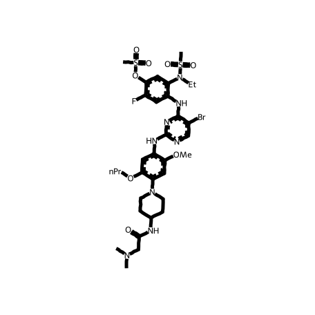 [CH2]CCOc1cc(Nc2ncc(Br)c(Nc3cc(F)c(OS(C)(=O)=O)cc3N(CC)S(C)(=O)=O)n2)c(OC)cc1N1CCC(NC(=O)CN(C)C)CC1